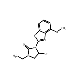 CCN1CC(O)N(c2nc3c(OC)cccc3s2)C1=O